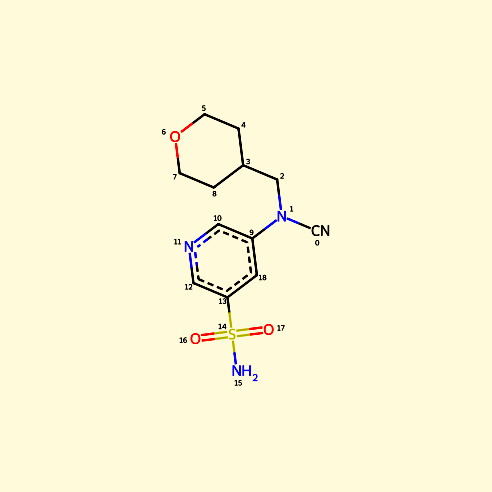 N#CN(CC1CCOCC1)c1cncc(S(N)(=O)=O)c1